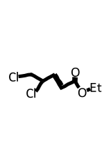 CCOC(=O)C=CC(Cl)CCl